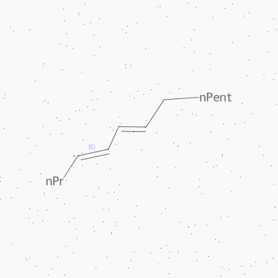 CCC/[C]=C/C=CCCCCCC